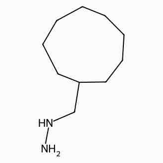 NNCC1CCCCCCCC1